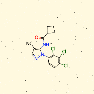 N#Cc1cnn(-c2ccc(Cl)c(Cl)c2Cl)c1NC(=O)C1CCC1